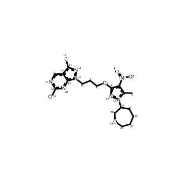 Cc1c([N+](=O)[O-])c(OCCCn2nc(Cl)c3cnc(Cl)nc32)nn1C1CCCCOC1